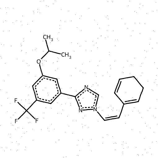 CC(C)Oc1cc(-c2ncn(/C=C\C3=CCCC=C3)n2)cc(C(F)(F)F)c1